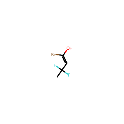 CC(F)(F)C=C(O)Br